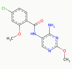 COc1ncc(NC(=O)c2ccc(Cl)cc2OC)c(N)n1